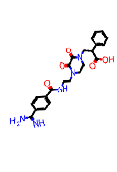 N=C(N)c1ccc(C(=O)NCCN2CCN(CC(C(=O)O)c3ccccc3)C(=O)C2=O)cc1